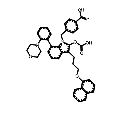 O=C(O)Oc1c(CCCOc2cccc3ccccc23)c2cccc(-c3ccccc3N3CCOCC3)c2n1Cc1ccc(C(=O)O)cc1